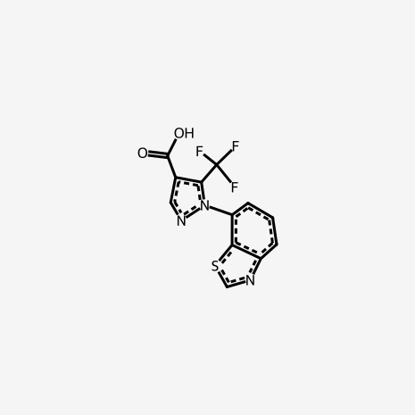 O=C(O)c1cnn(-c2cccc3ncsc23)c1C(F)(F)F